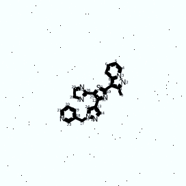 Cc1nn2ccccc2c1-c1nc(-c2cnn(Cc3cccnc3)c2)c(C2=NCC=N2)s1